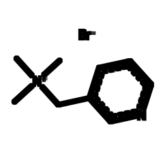 C[N+](C)(C)Cc1cccnc1.[Br-]